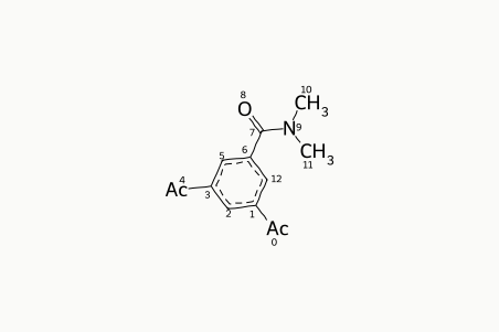 CC(=O)c1cc(C(C)=O)cc(C(=O)N(C)C)c1